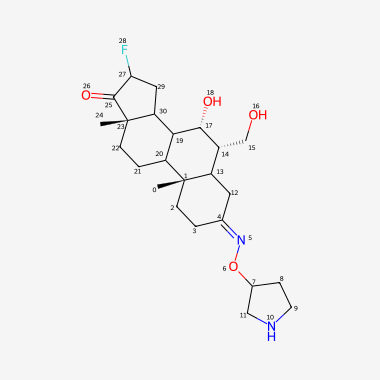 C[C@]12CCC(=NOC3CCNC3)CC1[C@@H](CO)[C@@H](O)C1C2CC[C@]2(C)C(=O)C(F)CC12